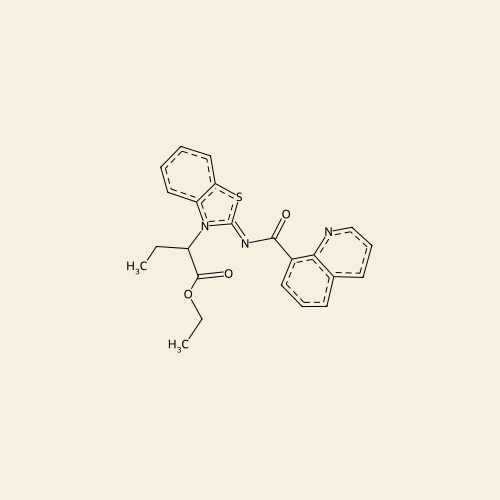 CCOC(=O)C(CC)n1c(=NC(=O)c2cccc3cccnc23)sc2ccccc21